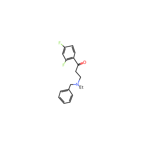 CCN(CCC(=O)c1ccc(F)cc1F)Cc1ccccc1